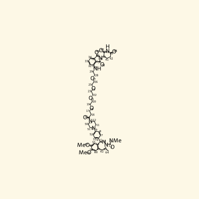 CNC(=O)N1N=C(c2ccc(N3CCN(C(=O)CCOCCOCCOCCOCCNc4cccc5c4C(=O)N([C@H]4CCC(=O)NC4=O)C5=O)CC3)cc2)c2cc(OC)c(OC)cc2C[C@@H]1C